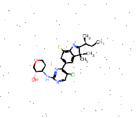 CC[C@H](C)C1=Nc2c(F)cc(-c3nc(N[C@@H]4CCOC[C@H]4O)ncc3Cl)cc2C1(C)C